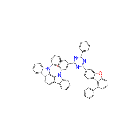 c1ccc(-c2nc(-c3cccc(-n4c5ccccc5c5ccc6c7ccccc7n(-c7ccccc7)c6c54)c3)nc(-c3ccc4c(c3)oc3cccc(-c5ccccc5)c34)n2)cc1